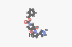 Cn1cc([C@@H]2C=C[C@H]3OC4(CCN(C(=O)OCc5ccccc5)CC4)C(=O)N32)cn1